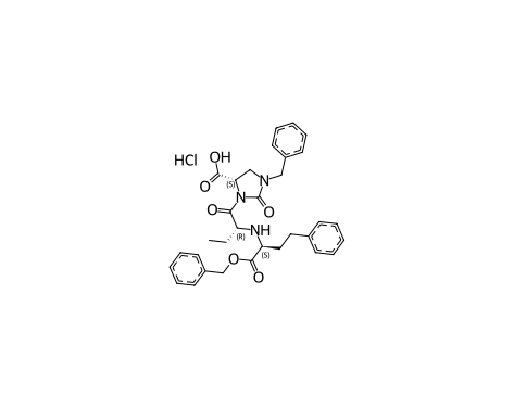 CC[C@@H](N[C@@H](CCc1ccccc1)C(=O)OCc1ccccc1)C(=O)N1C(=O)N(Cc2ccccc2)C[C@H]1C(=O)O.Cl